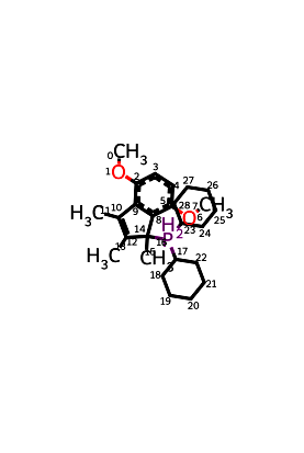 COc1ccc(OC)c2c1C(C)=C(C)C2(C)[PH2](C1CCCCC1)C1CCCCC1